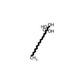 CCCCCCCCCCCCCC=CC=CC(=O)C(O)C(O)CO